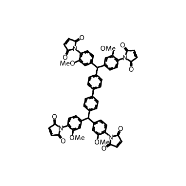 COc1cc(C(c2ccc(-c3ccc(C(c4ccc(N5C(=O)C=CC5=O)c(OC)c4)c4ccc(N5C(=O)C=CC5=O)c(OC)c4)cc3)cc2)c2ccc(N3C(=O)C=CC3=O)c(OC)c2)ccc1N1C(=O)C=CC1=O